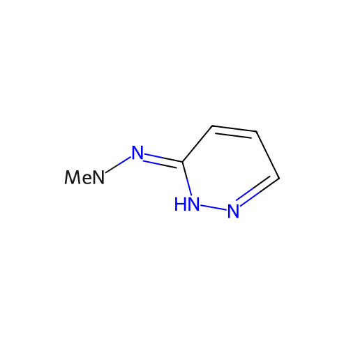 CN/N=c1/cccn[nH]1